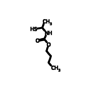 CCCCOC(=O)NC(C)S